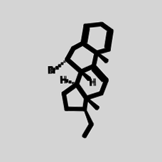 CC[C@H]1CC[C@H]2[C@H]3C(=CC[C@]12C)[C@@]1(C)C=CCC=C1C[C@H]3Br